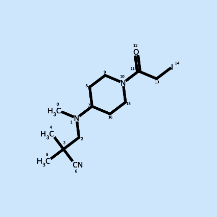 CN(CC(C)(C)C#N)C1CCN(C(=O)CI)CC1